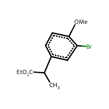 CCOC(=O)C(C)c1ccc(OC)c(Br)c1